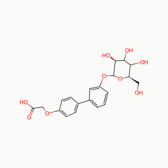 O=C(O)COc1ccc(-c2cccc(OC3O[C@H](CO)C(O)C(O)[C@@H]3O)c2)cc1